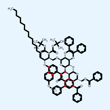 CCCCCCCCCCCCC/C=C/[C@@H](OCc1ccc(OC)cc1)[C@H](CO[C@@H]1O[C@H](COC(=O)c2ccccc2)[C@@H](O[C@@H]2O[C@H](COC(=O)c3ccccc3)[C@H](OC(=O)c3ccccc3)[C@H](OC(=O)c3ccccc3)[C@H]2OC(=O)c2ccccc2)[C@H](OC(=O)c2ccccc2)[C@H]1OC(=O)c1ccccc1)N(C(=O)OC(C)(C)C)C(=O)OC(C)(C)C